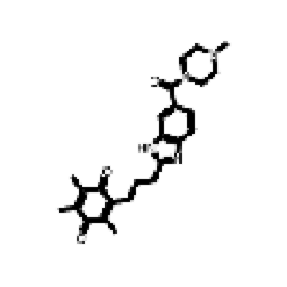 CC1=C(C)C(=O)C(CCCc2nc3ccc(C(=O)N4CCN(C)CC4)cc3[nH]2)=C(C)C1=O